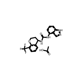 CC(=O)O.O=C(Nc1cccc2[nH]ncc12)NC1CCOc2c1cccc2C(F)(F)F